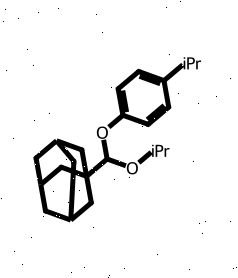 CC(C)OC(Oc1ccc(C(C)C)cc1)C12CC3CC(CC(C3)C1)C2